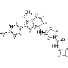 CCn1c(-c2cnc(C)nc2)nc2c(N[C@H]3CCN(C(=O)NC4CCC4)C3)ncnc21